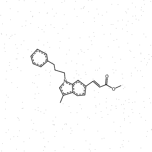 COC(=O)C=Cc1ccc2c(C)cn(CCCc3ccccc3)c2c1